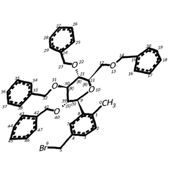 Cc1ccc(CBr)cc1[C@@H]1O[C@H](COCc2ccccc2)[C@@H](OCc2ccccc2)[C@H](OCc2ccccc2)[C@H]1OCc1ccccc1